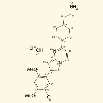 COc1cc(OC)c(-c2cn3ccc(N4CCC(CCN)CC4)nc3n2)cc1Cl.Cl.Cl